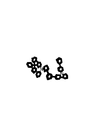 c1ccc(-c2ccc(-n3c4ccccc4c4ccc(-c5cccc(-c6cccc(N(c7ccccc7)c7ccc8c(c7)C(c7ccccc7)(c7ccccc7)c7ccccc7-8)c6)c5)cc43)cc2)cc1